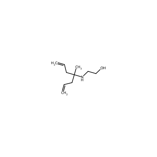 C=CCC(C)(CC=C)NCCO